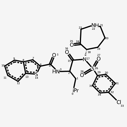 CC(C)CC(NC(=O)c1cc2ccccc2s1)C(=O)N([C@H]1CCCNCC1=O)S(=O)(=O)c1ccc(Cl)cc1